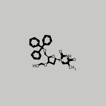 Cc1cn([C@H]2CC(OCO)[C@@H](COC(c3ccccc3)(c3ccccc3)c3ccccc3)O2)c(=O)[nH]c1=O